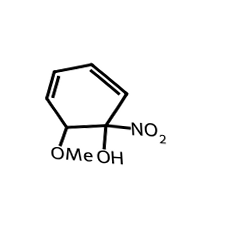 COC1C=CC=CC1(O)[N+](=O)[O-]